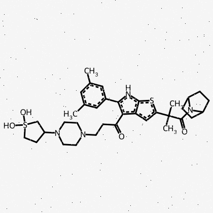 Cc1cc(C)cc(-c2[nH]c3sc(C(C)(C)C(=O)N4C5CCC4CC5)cc3c2C(=O)CCN2CCN(C3CCS(O)(O)C3)CC2)c1